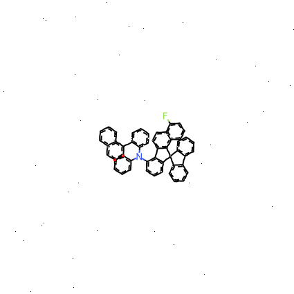 Fc1cccc2c3c(ccc12)-c1c(N(c2ccccc2)c2ccccc2-c2cccc4ccccc24)cccc1C31c2ccccc2-c2ccccc21